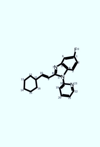 Fc1ccc2c(c1)nc(/C=C/C1CCCCC1)n2-c1ccccn1